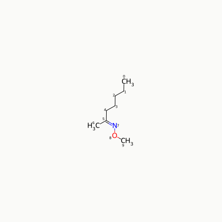 CCCCCC(C)=NOC